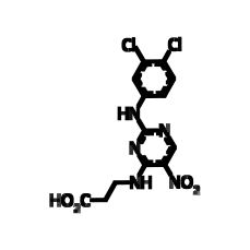 O=C(O)CCNc1nc(Nc2ccc(Cl)c(Cl)c2)ncc1[N+](=O)[O-]